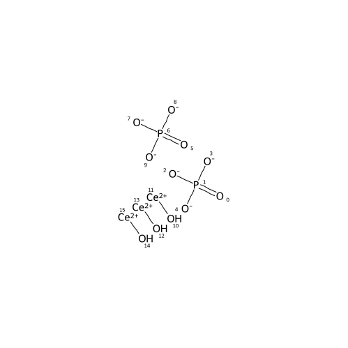 O=P([O-])([O-])[O-].O=P([O-])([O-])[O-].[OH][Ce+2].[OH][Ce+2].[OH][Ce+2]